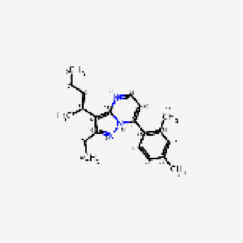 CCCC(C)c1c(CC)nn2c(-c3ccc(C)cc3C)ccnc12